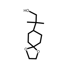 CC(C)(CO)C1CCC2(CC1)OCCO2